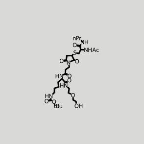 CCCNC(=O)C(CSC1CC(=O)N(CCC(=O)NC(CCCCNC(=O)OC(C)(C)C)C(=O)NCCOCCO)C1=O)NC(C)=O